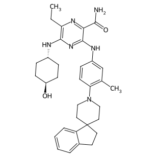 CCc1nc(C(N)=O)c(Nc2ccc(N3CCC4(CCc5ccccc54)CC3)c(C)c2)nc1N[C@H]1CC[C@H](O)CC1